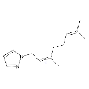 CC(C)=CCC/C(C)=C\Cn1cccn1